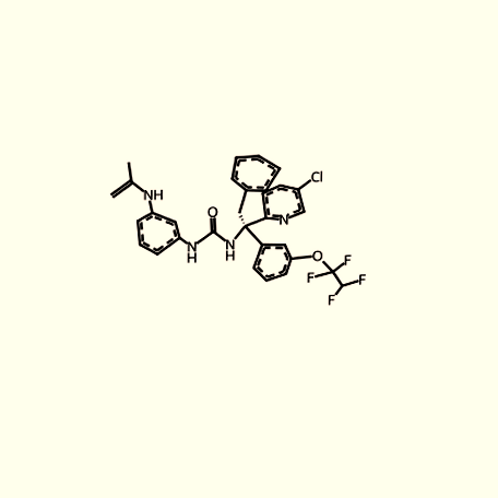 C=C(C)Nc1cccc(NC(=O)N[C@](Cc2ccccc2)(c2cccc(OC(F)(F)C(F)F)c2)c2ccc(Cl)cn2)c1